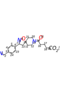 NN=Cc1ccc(C2=NOC3(CCN(C(=O)CCCC(=O)O)CC3)C2)cc1